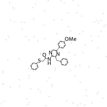 COc1ccc(-c2cnc(NC(=O)CSc3ccccc3)c(Cc3ccccc3)n2)cc1